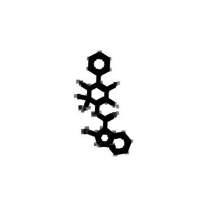 O=C(NC1=C(F)C(F)=C(c2ccccc2)C(F)C1(F)C(F)(F)F)c1c(O)nn2ccccc12